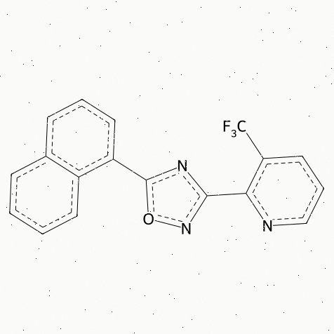 FC(F)(F)c1cccnc1-c1noc(-c2cccc3ccccc23)n1